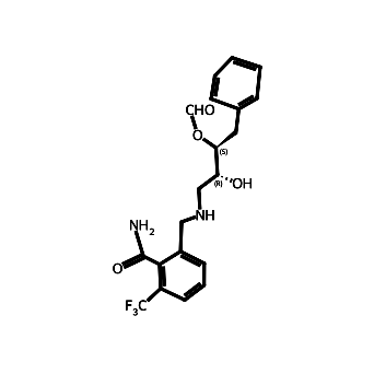 NC(=O)c1c(CNC[C@@H](O)[C@H](Cc2ccccc2)OC=O)cccc1C(F)(F)F